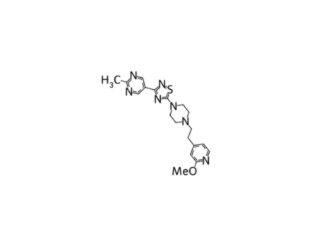 COc1cc(CCN2CCN(c3nc(-c4cnc(C)nc4)ns3)CC2)ccn1